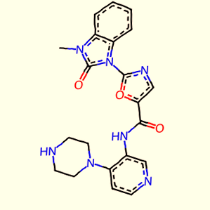 Cn1c(=O)n(-c2ncc(C(=O)Nc3cnccc3N3CCNCC3)o2)c2ccccc21